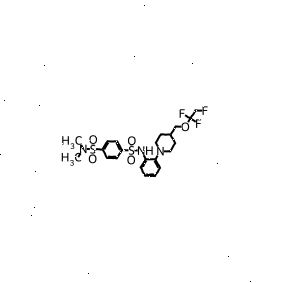 CN(C)S(=O)(=O)c1ccc(S(=O)(=O)Nc2ccccc2N2CCC(COC(F)(F)CF)CC2)cc1